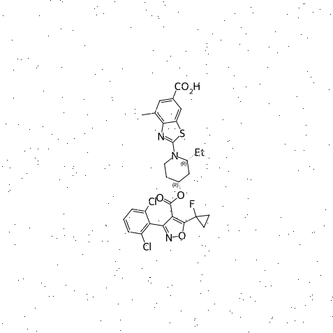 CC[C@@H]1C[C@H](OC(=O)c2c(-c3c(Cl)cccc3Cl)noc2C2(F)CC2)CCN1c1nc2c(C)cc(C(=O)O)cc2s1